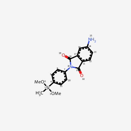 CO[Si](C)(OC)c1ccc(N2C(=O)c3ccc(N)cc3C2=O)cc1